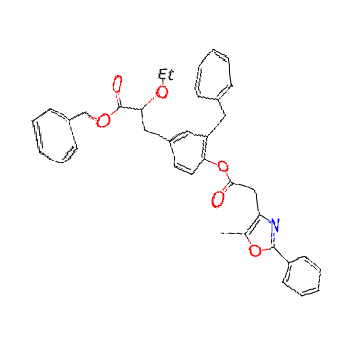 CCOC(Cc1ccc(OC(=O)Cc2nc(-c3ccccc3)oc2C)c(Cc2ccccc2)c1)C(=O)OCc1ccccc1